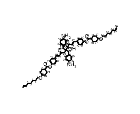 C=CCCCCCOC1CCC(C(=O)Oc2ccc(C=CC(=O)CC(Cc3ccc(N)cc3)(Cc3ccc(N)cc3)C(O)(O)C(=O)C=Cc3ccc(OC(=O)C4CCC(OCCCCCC=C)CC4)cc3)cc2)CC1